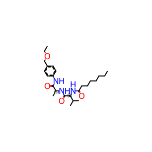 CCCCCCCC(=O)N[C@H](C(=O)N[C@@H](C)C(=O)Nc1ccc(COCC)cc1)C(C)C